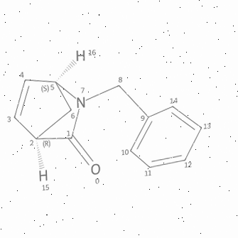 O=C1[C@H]2C=C[C@H](C2)N1Cc1ccccc1